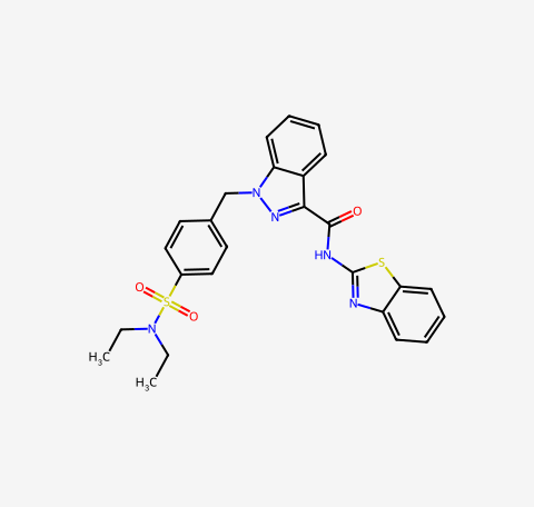 CCN(CC)S(=O)(=O)c1ccc(Cn2nc(C(=O)Nc3nc4ccccc4s3)c3ccccc32)cc1